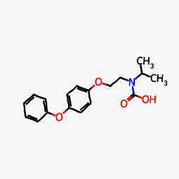 CC(C)N(CCOc1ccc(Oc2ccccc2)cc1)C(=O)O